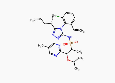 C=CC[C@H](C)c1nnc(NS(=O)(=O)C(C)C(OC(C)C)c2ncc(C)cn2)n1-c1c(F)cccc1C=C